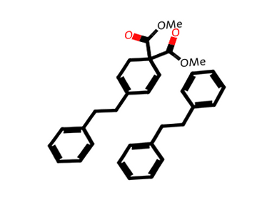 COC(=O)C1(C(=O)OC)C=CC(CCc2ccccc2)=CC1.c1ccc(CCc2ccccc2)cc1